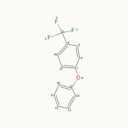 FC(F)(F)c1[c]cc(Oc2ccccc2)cc1